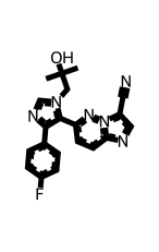 CC(C)(O)Cn1cnc(-c2ccc(F)cc2)c1-c1ccc2ncc(C#N)n2n1